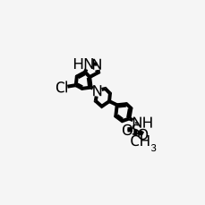 CS(=O)(=O)Nc1ccc(C2CCN(c3cc(Cl)cc4[nH]ncc34)CC2)cc1